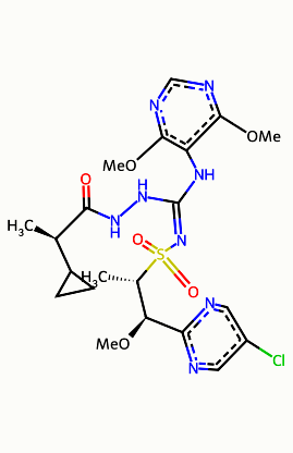 COc1ncnc(OC)c1N/C(=N/S(=O)(=O)[C@@H](C)[C@H](OC)c1ncc(Cl)cn1)NNC(=O)[C@H](C)C1CC1